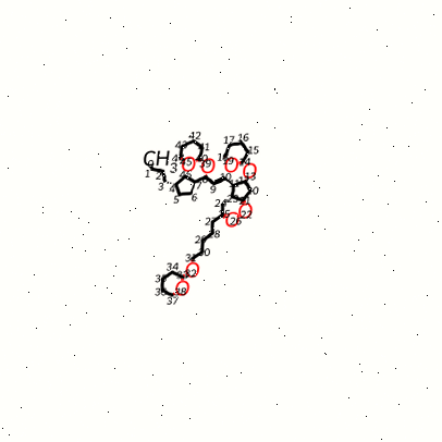 CCCC[C@H]1CC[C@H]([C@@H](/C=C/[C@H]2[C@H](OC3CCCCO3)CC(=O)[C@@H]2CC(=O)CCCCCOC2CCCCO2)OC2CCCCO2)C1